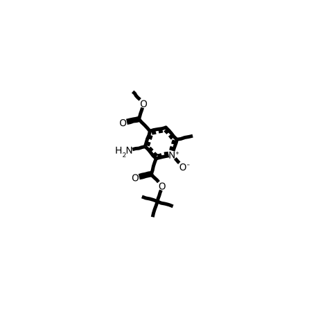 COC(=O)c1cc(C)[n+]([O-])c(C(=O)OC(C)(C)C)c1N